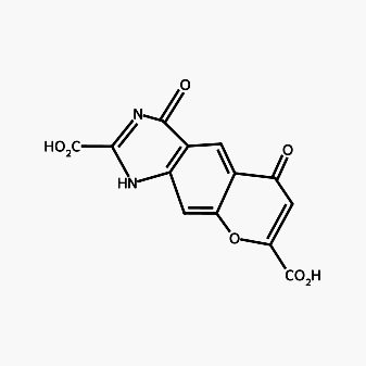 O=C(O)c1nc(=O)c2cc3c(=O)cc(C(=O)O)oc3cc2[nH]1